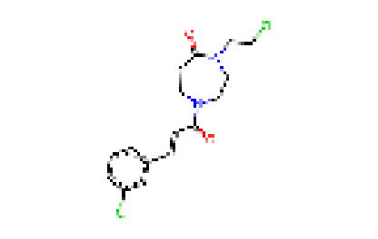 O=C(C=Cc1cccc(Cl)c1)N1CCC(=O)N(CCCl)CC1